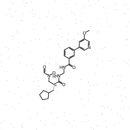 COc1cncc(-c2cccc(C(=O)NCNC(=O)[C@H](CC3CCCC3)CN(O)C=O)c2)c1